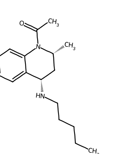 CCCCCN[C@H]1C[C@@H](C)N(C(C)=O)c2ccccc21